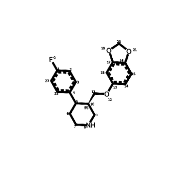 Fc1ccc(C2CCNC[C@@H]2COc2ccc3c(c2)OCO3)cc1